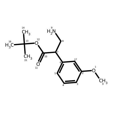 COc1cccc(C(CN)C(=O)OC(C)(C)C)c1